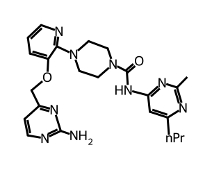 CCCc1cc(NC(=O)N2CCN(c3ncccc3OCc3ccnc(N)n3)CC2)nc(C)n1